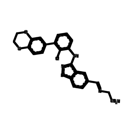 O=C(O)CN=Cc1ccc2snc(Nc3cccc(-c4ccc5c(c4)OCCO5)c3Cl)c2c1